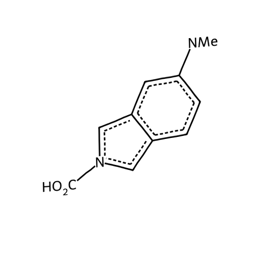 CNc1ccc2cn(C(=O)O)cc2c1